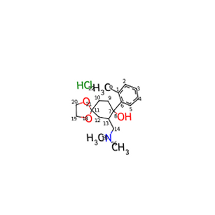 Cc1ccccc1C1(O)CCC2(CC1CN(C)C)OCCO2.Cl